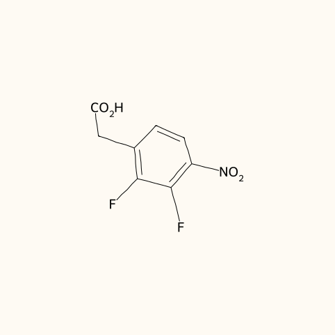 O=C(O)Cc1ccc([N+](=O)[O-])c(F)c1F